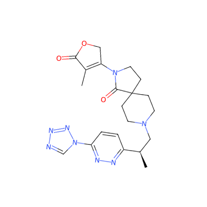 CC1=C(N2CCC3(CCN(C[C@@H](C)c4ccc(-n5cnnn5)nn4)CC3)C2=O)COC1=O